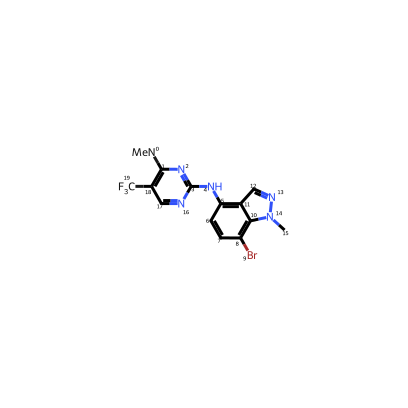 CNc1nc(Nc2ccc(Br)c3c2cnn3C)ncc1C(F)(F)F